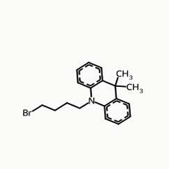 CC1(C)c2ccccc2N(CCCCBr)c2ccccc21